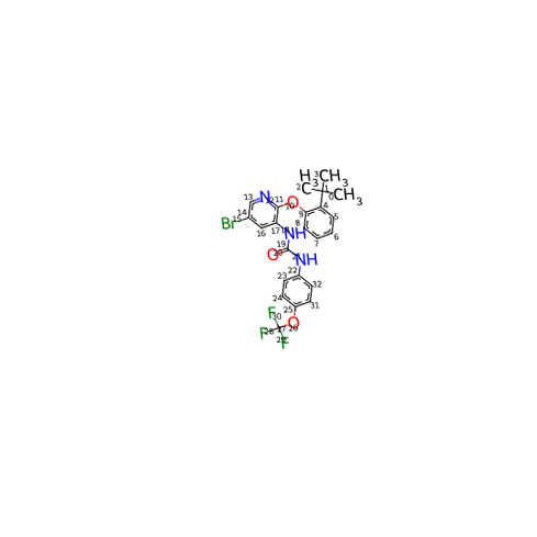 CC(C)(C)c1ccccc1Oc1ncc(Br)cc1NC(=O)Nc1ccc(OC(F)(F)F)cc1